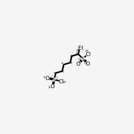 CCC(CCCCCS(=O)(=O)Cl)S(=O)(=O)Cl